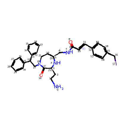 NCC[C@@H]1N[C@H](CNC(=O)/C=C/c2ccc(CI)cc2)CCN(CC(c2ccccc2)c2ccccc2)C1=O